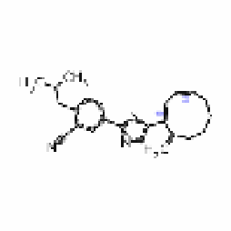 C=C1CCCC/C=C\C=C/1c1cnc(-c2ccc(CC(C)C)c(C#N)c2)s1